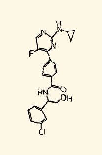 O=C(NC(CO)c1cccc(Cl)c1)c1ccc(-c2nc(NC3CC3)ncc2F)cc1